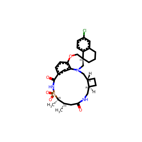 C[C@H]1CC(=O)NC[C@@H]2CC[C@H]2CN2C[C@@]3(CCCc4cc(Cl)ccc43)COc3ccc(cc32)C(=O)NS(=O)(=O)[C@H]1C